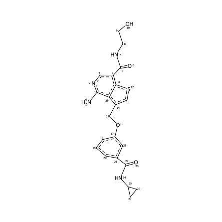 Nc1ncc(C(=O)NCCO)c2scc(COc3cccc(C(=O)NC4CC4)c3)c12